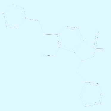 O=S1(=O)CC(Sc2ccccc2)c2c1ccc(OCc1ccccc1)c2CO